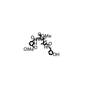 COC(=O)c1cccc(C(=O)NC[C@H](NC(=O)c2sc(C(=O)NCc3cccc(O)c3)cc2C)C(=O)OC)c1